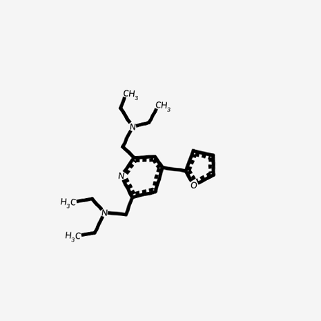 CCN(CC)Cc1cc(-c2ccco2)cc(CN(CC)CC)n1